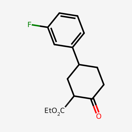 CCOC(=O)C1CC(c2cccc(F)c2)CCC1=O